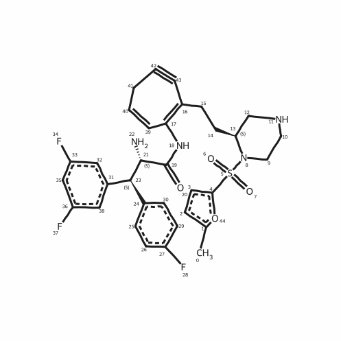 Cc1ccc(S(=O)(=O)N2CCNC[C@@H]2CCC2=C(NC(=O)[C@@H](N)[C@@H](c3ccc(F)cc3)c3cc(F)cc(F)c3)C=CCC#C2)o1